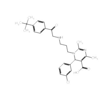 CC1=NC(C)=C(C(=O)O)C(c2cccc(Cl)c2)N1CCCNCC(=O)c1ccc(C(C)(C)C)cc1